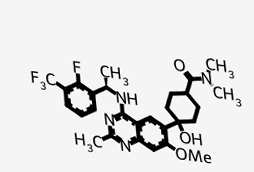 COc1cc2nc(C)nc(N[C@H](C)c3cccc(C(F)(F)F)c3F)c2cc1C1(O)CCC(C(=O)N(C)C)CC1